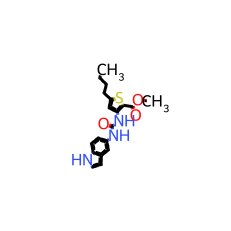 CCCCc1cc(NC(=O)Nc2ccc3[nH]ccc3c2)c(C(=O)OC)s1